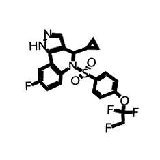 O=S(=O)(c1ccc(OC(F)(F)CF)cc1)N1c2ccc(F)cc2-c2[nH]ncc2C1C1CC1